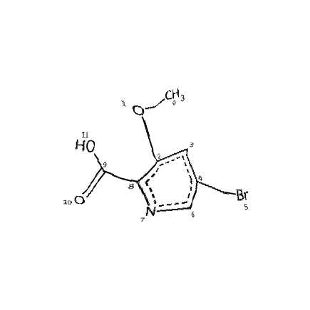 COc1cc(Br)cnc1C(=O)O